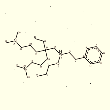 CCCO[SiH](CCc1ccccc1)CC(CC)(CCCN(C)C)CCCN(C)C